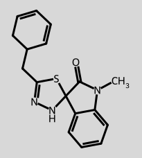 CN1C(=O)C2(NN=C(CC3C=CC=CC3)S2)c2ccccc21